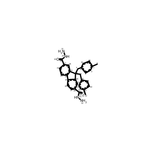 Cc1ccc(CC2(Cc3ccc(C)cc3)c3cc(C(=O)NN)ccc3-c3ccc(C(=O)NN)cc32)cc1